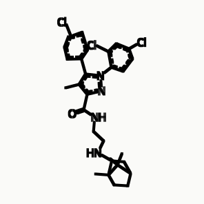 Cc1c(C(=O)NCCNC2CC3CCC2(C)C3(C)C)nn(-c2ccc(Cl)cc2Cl)c1-c1ccc(Cl)cc1